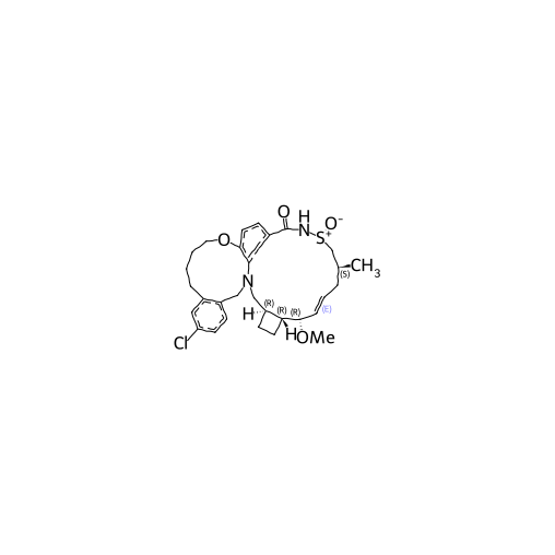 CO[C@H]1/C=C/C[C@H](C)C[S+]([O-])NC(=O)c2ccc3c(c2)N(Cc2ccc(Cl)cc2CCCCO3)C[C@@H]2CC[C@H]21